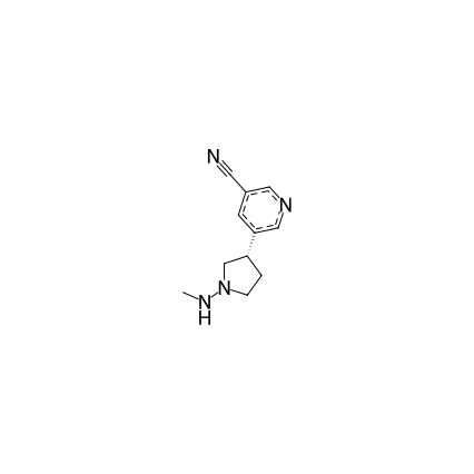 CNN1CC[C@@H](c2cncc(C#N)c2)C1